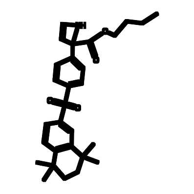 CCCCOC(=O)C1(c2ccc(S(=O)(=O)c3ccc4c(c3)C(C)(C)CCC4(C)C)cc2)C=CN1